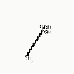 CCCCCCCCCCCCCCCCCCN(O)C(=O)O